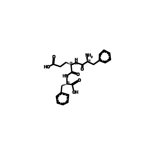 N[C@@H](Cc1ccccc1)C(=O)N[C@@H](CCC(=O)O)C(=O)N[C@@H](Cc1ccccc1)C(=O)O